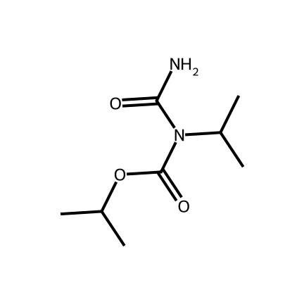 CC(C)OC(=O)N(C(N)=O)C(C)C